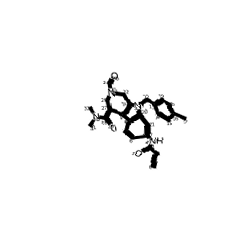 C=CC(=O)Nc1ccc2c3c(n(Cc4ccc(C)cc4)c2c1)CN(C=O)CC3C(=O)N(C)C